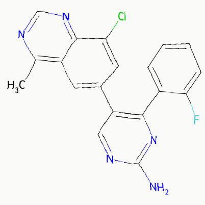 Cc1ncnc2c(Cl)cc(-c3cnc(N)nc3-c3ccccc3F)cc12